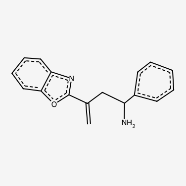 C=C(CC(N)c1ccccc1)c1nc2ccccc2o1